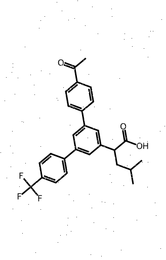 CC(=O)c1ccc(-c2cc(-c3ccc(C(F)(F)F)cc3)cc(C(CC(C)C)C(=O)O)c2)cc1